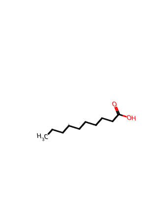 CCC[CH]CCCCCC(=O)O